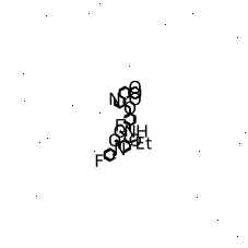 CCOc1ccn(-c2ccc(F)cc2)c(=O)c1C(=O)Nc1ccc(Oc2ccnc3ccc4c(c23)OCCO4)cc1F